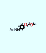 C=COCCOc1ccc(NC(C)=O)cc1